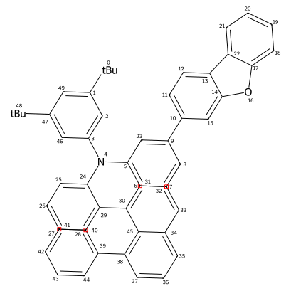 CC(C)(C)c1cc(N(c2cccc(-c3ccc4c(c3)oc3ccccc34)c2)c2ccccc2-c2cccc3cccc(-c4ccccc4)c23)cc(C(C)(C)C)c1